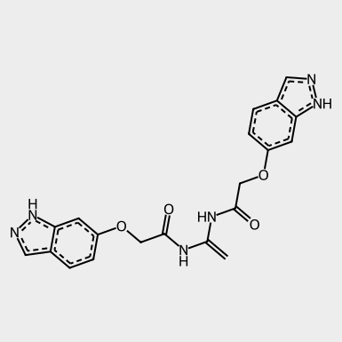 C=C(NC(=O)COc1ccc2cn[nH]c2c1)NC(=O)COc1ccc2cn[nH]c2c1